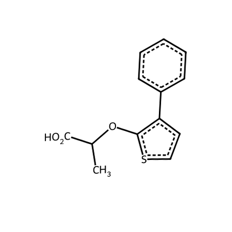 CC(Oc1sccc1-c1ccccc1)C(=O)O